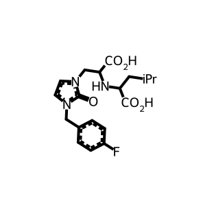 CC(C)CC(NC(Cn1ccn(Cc2ccc(F)cc2)c1=O)C(=O)O)C(=O)O